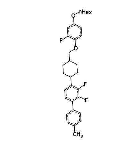 CCCCCCOc1ccc(OCC2CCC(c3ccc(-c4ccc(C)cc4)c(F)c3F)CC2)c(F)c1